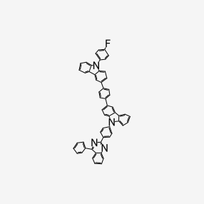 Fc1ccc(-n2c3ccccc3c3cc(-c4ccc(-c5ccc6c(c5)c5ccccc5n6-c5ccc(-c6nc(-c7ccccc7)c7ccccc7n6)cc5)cc4)ccc32)cc1